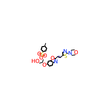 Cc1ccc(S(=O)(=O)OCC(CO)Oc2ccc3nc(/C=C/c4cnc(N5CCOCC5)s4)oc3c2)cc1